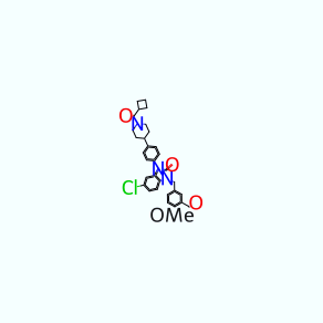 COC(=O)c1cccc(Cn2c(=O)n(-c3ccc(C4CCN(C(=O)C5CCC5)CC4)cc3)c3cc(Cl)ccc32)c1